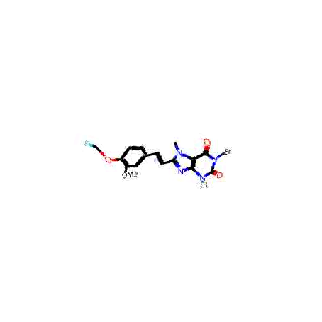 CCn1c(=O)c2c(nc(/C=C/c3ccc(OCF)c(OC)c3)n2C)n(CC)c1=O